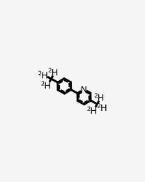 [2H]C([2H])([2H])c1ccc(-c2ccc(C([2H])([2H])[2H])cn2)cc1